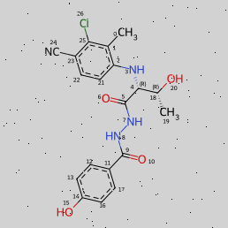 Cc1c(N[C@@H](C(=O)NNC(=O)c2ccc(O)cc2)[C@@H](C)O)ccc(C#N)c1Cl